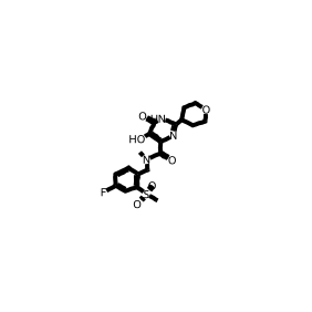 CN(Cc1ccc(F)cc1S(C)(=O)=O)C(=O)c1nc(C2CCOCC2)[nH]c(=O)c1O